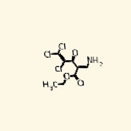 CCOC(=O)/C(=C/N)C(=O)C(Cl)=C(Cl)Cl